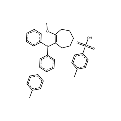 COC1=C(P(c2ccccc2)c2ccccc2)CCCCC1.Cc1ccc(S(=O)(=O)O)cc1.Cc1ccccc1